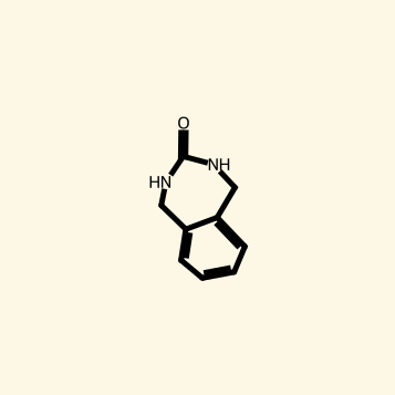 O=C1NCc2ccccc2CN1